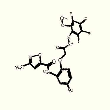 Cc1cc(C(=O)Nc2cc(Br)ccc2OCC(=O)NSc2c(F)c(F)c(F)c(F)c2OC(F)(F)F)on1